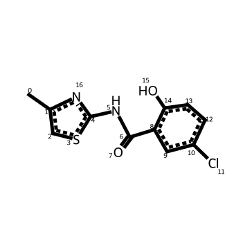 Cc1csc(NC(=O)c2cc(Cl)ccc2O)n1